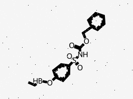 CCBOc1ccc(S(=O)(=O)NC(=O)OCc2ccccc2)cc1